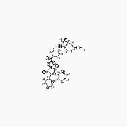 Cc1ccc(Nc2ccc(S(=O)(=O)ON3C(=O)C(c4ccccn4)=C(c4ccccn4)C3=O)cc2)c(C)c1